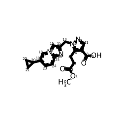 COC(=O)CCc1c(C(=O)O)cnn1Cc1cn2cc(C3CC3)ccc2n1